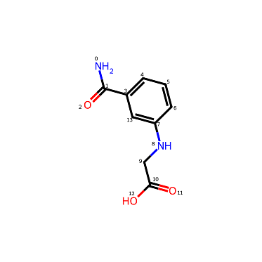 NC(=O)c1cccc(NCC(=O)O)c1